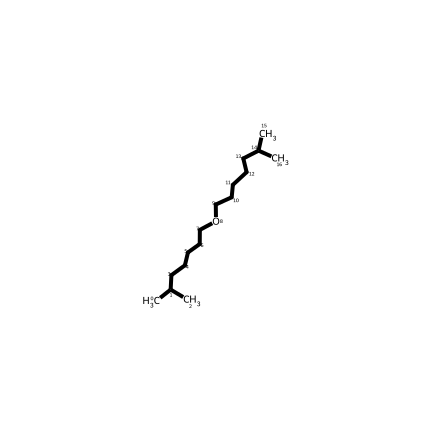 CC(C)CCCCCOCCCCCC(C)C